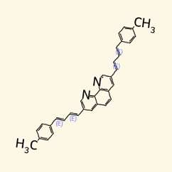 Cc1ccc(/C=C/C=C/c2cnc3c(ccc4cc(/C=C/C=C/c5ccc(C)cc5)cnc43)c2)cc1